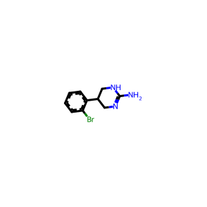 NC1=NCC(c2ccccc2Br)CN1